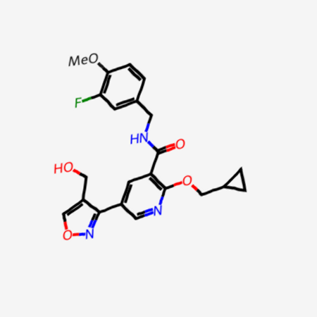 COc1ccc(CNC(=O)c2cc(-c3nocc3CO)cnc2OCC2CC2)cc1F